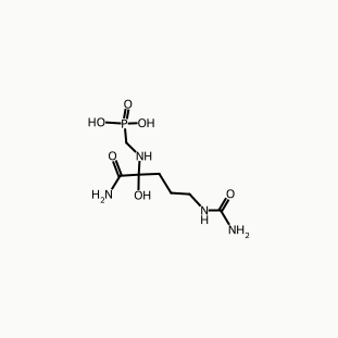 NC(=O)NCCCC(O)(NCP(=O)(O)O)C(N)=O